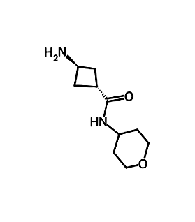 N[C@H]1C[C@H](C(=O)NC2CCOCC2)C1